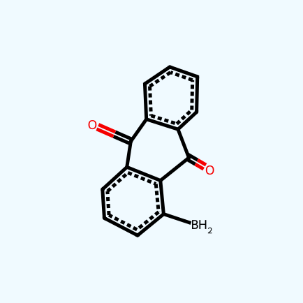 Bc1cccc2c1C(=O)c1ccccc1C2=O